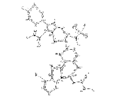 CNC(=O)c1c(-c2ccc(C)cc2)oc2cc(N(C)S(C)(=O)=O)c(-c3ccc4nc(CC(=O)OC)n5c6cccc(F)c6cc5c4n3)cc12